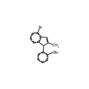 CCCCc1ccccc1C1C(C)=Cc2c(Br)cccc21